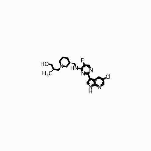 C[C@@H](CO)CN1CCC[C@@H](CNc2nc(-c3c[nH]c4ncc(Cl)cc34)ncc2F)C1